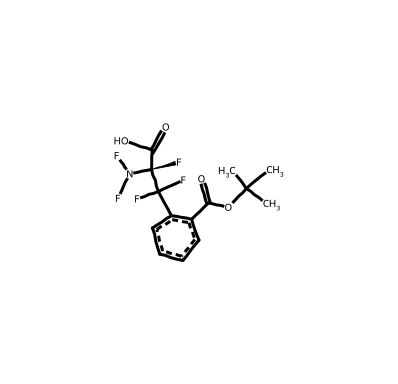 CC(C)(C)OC(=O)c1ccccc1C(F)(F)[C@@](F)(C(=O)O)N(F)F